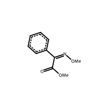 CON=C(C(=O)OC)c1cc[c]cc1